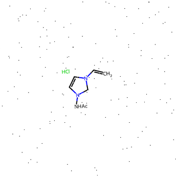 C=CN1C=CN(NC(C)=O)C1.Cl